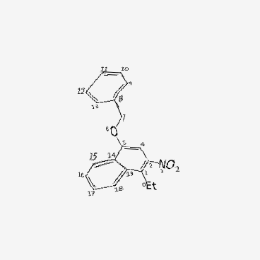 [CH2]Cc1c([N+](=O)[O-])cc(OCc2ccccc2)c2ccccc12